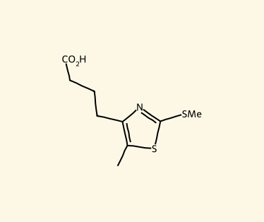 CSc1nc(CCCC(=O)O)c(C)s1